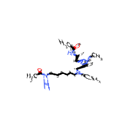 CC(=O)NCCCCCCN(C)CCN(C)CCNC(C)=O